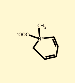 C[N+]1(C(=O)[O-])C=CC=CC1